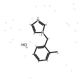 Cc1ccccc1Cn1ccnc1.Cl